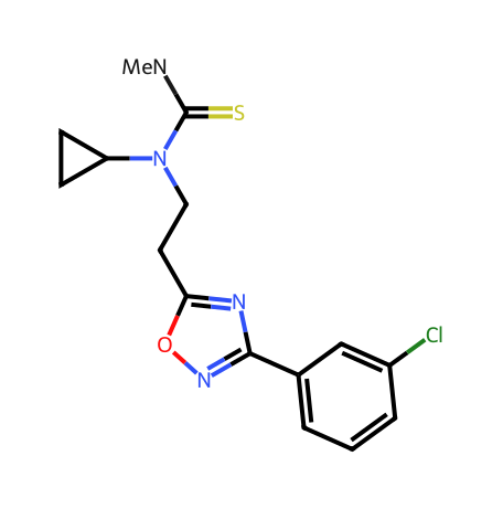 CNC(=S)N(CCc1nc(-c2cccc(Cl)c2)no1)C1CC1